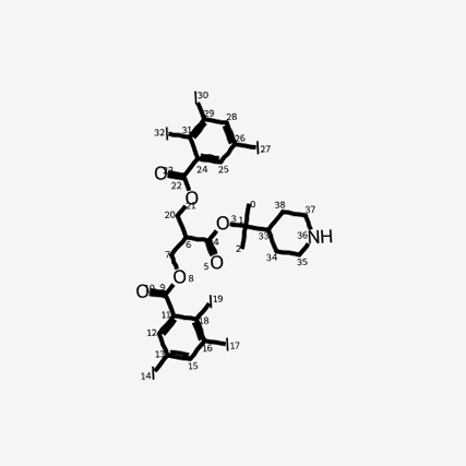 CC(C)(OC(=O)C(COC(=O)c1cc(I)cc(I)c1I)COC(=O)c1cc(I)cc(I)c1I)C1CCNCC1